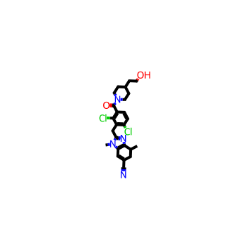 CC1CC(C#N)=Cc2c1nc(Cc1c(Cl)ccc(C(=O)N3CCC(CCO)CC3)c1Cl)n2C